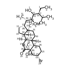 CC[C@@H](C(C)C)[C@H](O)[C@@H](O)[C@@H](C)[C@H]1CC[C@H]2[C@@H]3CC(=O)[C@@]4(O)C[C@@H](Br)CC[C@]4(C)[C@H]3CC[C@]12C